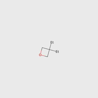 CCC1(CC)COC1